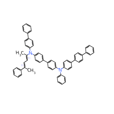 C/C(=C\C=C(/C)N(c1ccc(-c2ccccc2)cc1)c1ccc(-c2ccc(N(c3ccccc3)c3ccc(-c4ccc(-c5ccccc5)cc4)cc3)cc2)cc1)c1ccccc1